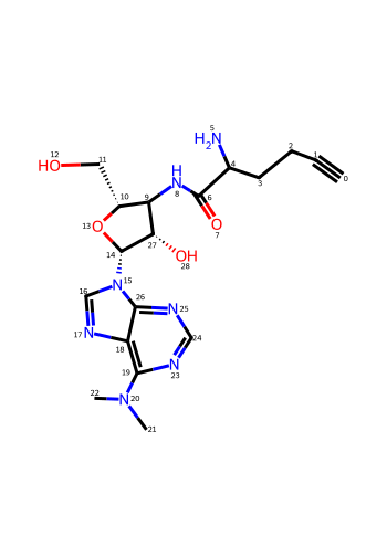 C#CCCC(N)C(=O)NC1[C@@H](CO)O[C@@H](n2cnc3c(N(C)C)ncnc32)[C@H]1O